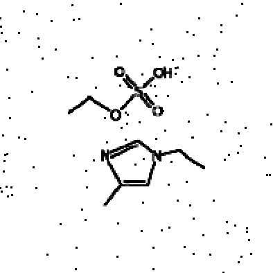 CCOS(=O)(=O)O.CCn1cnc(C)c1